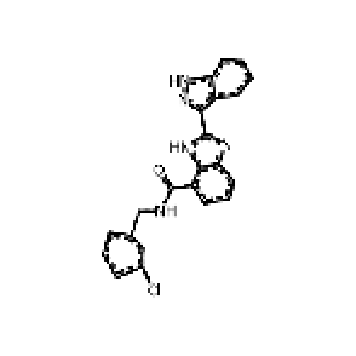 O=C(NCc1cccc(Cl)c1)c1cccc2nc(-c3n[nH]c4ccccc34)[nH]c12